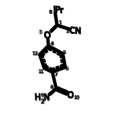 CC(C)C(C#N)Oc1ccc(C(N)=O)cc1